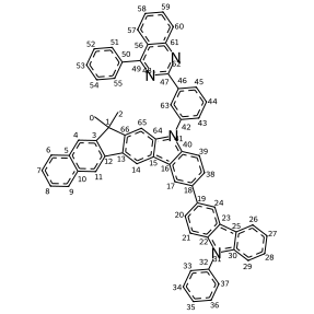 CC1(C)c2cc3ccccc3cc2-c2cc3c4cc(-c5ccc6c(c5)c5ccccc5n6-c5ccccc5)ccc4n(-c4cccc(-c5nc(-c6ccccc6)c6ccccc6n5)c4)c3cc21